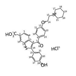 Cl.O=C(O)c1ccc2c(C(=O)c3ccc(OCCN4CCCCC4)cc3)c(-c3ccc(O)cc3)sc2c1